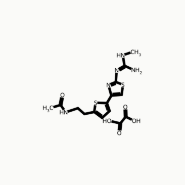 CN/C(N)=N/c1nc(-c2ccc(CCNC(C)=O)s2)cs1.O=C(O)C(=O)O